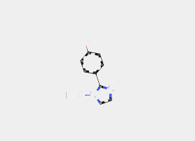 Cn1cc[n+](C)c1-c1ccc(O)cc1